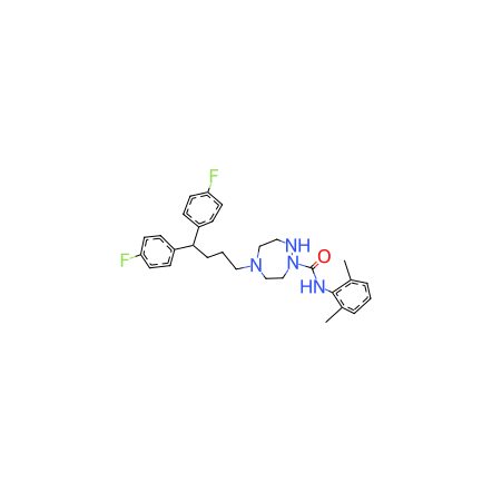 Cc1cccc(C)c1NC(=O)N1CCN(CCCC(c2ccc(F)cc2)c2ccc(F)cc2)CCN1